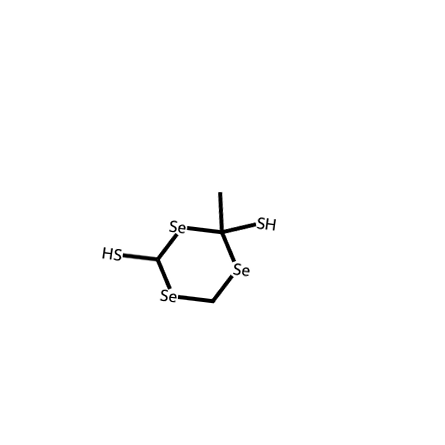 CC1(S)[Se]C[Se]C(S)[Se]1